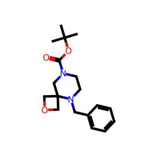 CC(C)(C)OC(=O)N1CCN(Cc2ccccc2)C2(COC2)C1